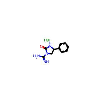 Br.N=C(N)N1CC(c2ccccc2)NC1=O